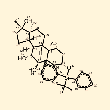 CC(C)(C)[Si](O[C@H]1CC[C@@]2(C)[C@H](C1)[C@@H](O)[C@H](O)[C@@H]1[C@@H]2CC[C@@]2(C)[C@H]1CC[C@]2(C)O)(c1ccccc1)c1ccccc1